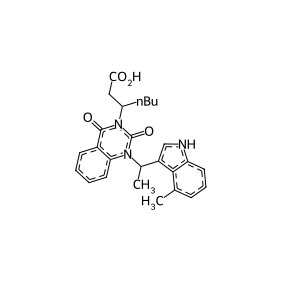 CCCCC(CC(=O)O)n1c(=O)c2ccccc2n(C(C)c2c[nH]c3cccc(C)c23)c1=O